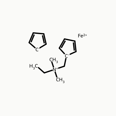 CC[N+](C)(C)C[c-]1cccc1.[Fe+2].c1cc[cH-]c1